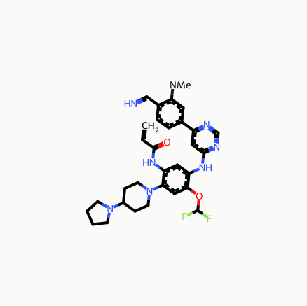 C=CC(=O)Nc1cc(Nc2cc(-c3ccc(C=N)c(NC)c3)ncn2)c(OC(F)F)cc1N1CCC(N2CCCC2)CC1